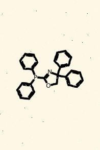 c1ccc(P(C2=NC(c3ccccc3)(c3ccccc3)CO2)c2ccccc2)cc1